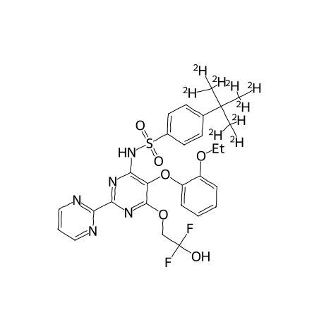 [2H]C([2H])([2H])C(c1ccc(S(=O)(=O)Nc2nc(-c3ncccn3)nc(OCC(O)(F)F)c2Oc2ccccc2OCC)cc1)(C([2H])([2H])[2H])C([2H])([2H])[2H]